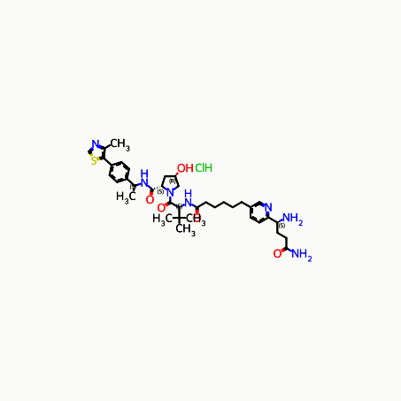 Cc1ncsc1-c1ccc([C@H](C)NC(=O)[C@@H]2C[C@@H](O)CN2C(=O)[C@@H](NC(=O)CCCCCc2ccc([C@@H](N)CCC(N)=O)nc2)C(C)(C)C)cc1.Cl